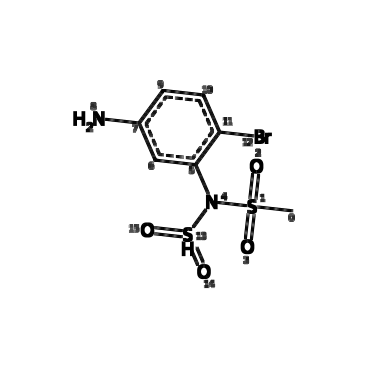 CS(=O)(=O)N(c1cc(N)ccc1Br)[SH](=O)=O